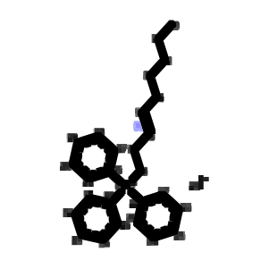 CCCCC/C=C/CC[P+](c1ccccc1)(c1ccccc1)c1ccccc1.[I-]